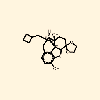 Oc1ccc2c3c1OC1C4(CCC5(O)[C@@H](C2)N(CC2CCC2)CCC[C@]315)OCCO4